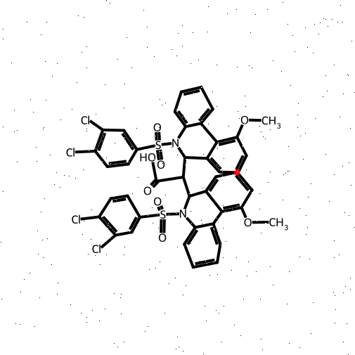 COc1cccc2c1-c1ccccc1N(S(=O)(=O)c1ccc(Cl)c(Cl)c1)C2C(C(=O)O)C1c2cccc(OC)c2-c2ccccc2N1S(=O)(=O)c1ccc(Cl)c(Cl)c1